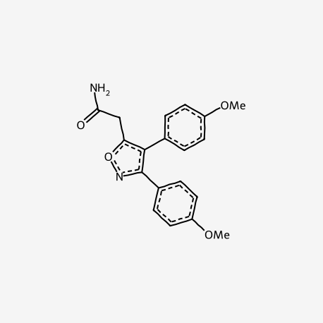 COc1ccc(-c2noc(CC(N)=O)c2-c2ccc(OC)cc2)cc1